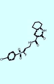 O=C(NC/C=C(\F)S(=O)(=O)c1ccc(Cl)cc1)c1cc2c([nH]c1=O)CCCC2